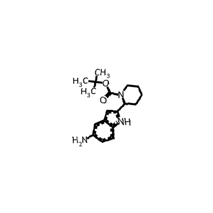 CC(C)(C)OC(=O)N1CCCCC1c1cc2cc(N)ccc2[nH]1